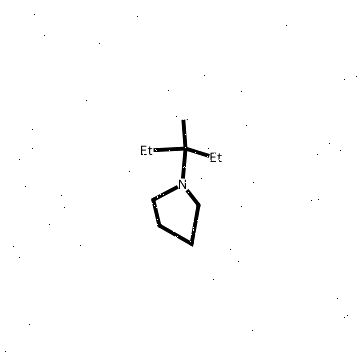 [CH2]C(CC)(CC)N1CCCC1